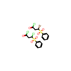 O=C(Cl)CC(Br)S(=O)(=O)c1ccccc1.O=C(Cl)CC(Cl)S(=O)(=O)c1ccccc1